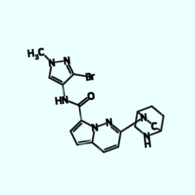 Cn1cc(NC(=O)c2ccc3ccc(N4CC5CCC4CN5)nn23)c(Br)n1